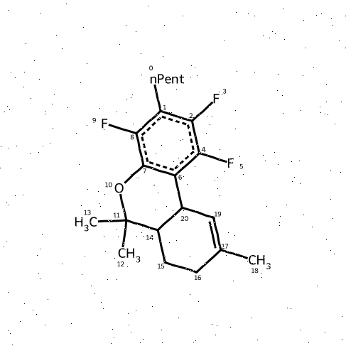 CCCCCc1c(F)c(F)c2c(c1F)OC(C)(C)C1CCC(C)=CC21